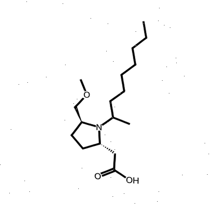 CCCCCCCC(C)N1[C@H](COC)CC[C@H]1CC(=O)O